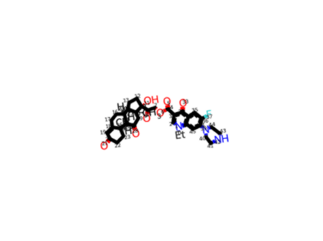 CCn1cc(C(=O)OCC(=O)[C@@]2(O)CC[C@H]3[C@@H]4CCC5=CC(=O)CC[C@]5(C)[C@H]4C(=O)C[C@@]32C)c(=O)c2cc(F)c(N3CCNCC3)cc21